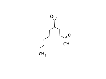 CCC=CCCC(C=CC(=O)O)[C@@H]1CO1